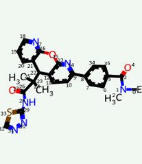 CCN(C)C(=O)c1ccc(-c2ccc3c(n2)Oc2ncccc2C3C(C)(C)C(=O)Nc2nncs2)cc1